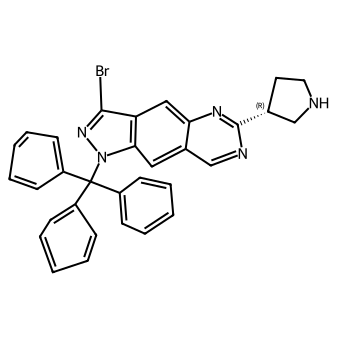 Brc1nn(C(c2ccccc2)(c2ccccc2)c2ccccc2)c2cc3cnc([C@@H]4CCNC4)nc3cc12